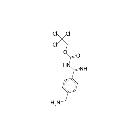 N=C(NC(=O)OCC(Cl)(Cl)Cl)c1ccc(CN)cc1